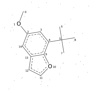 COc1cc(C(C)(C)C)c2occc2c1